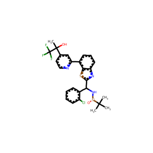 CC(C)(C)[S@+]([O-])NC(c1nc2cccc(-c3cc(C(C)(O)C(F)(F)F)ccn3)c2s1)c1ccccc1Cl